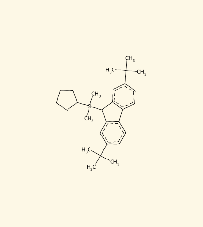 CC(C)(C)c1ccc2c(c1)C([Si](C)(C)C1CCCC1)c1cc(C(C)(C)C)ccc1-2